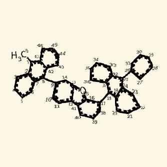 Cc1c2ccccc2c(-c2ccc3c(c2)oc2c(-c4c5ccccc5c(-c5ccccc5)c5ccccc45)cccc23)c2ccccc12